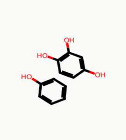 Oc1ccc(O)c(O)c1.Oc1ccccc1